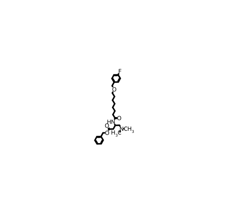 CN(C)CC(CC(=O)OCc1ccccc1)NC(=O)CCCCCCCOCc1ccc(F)cc1